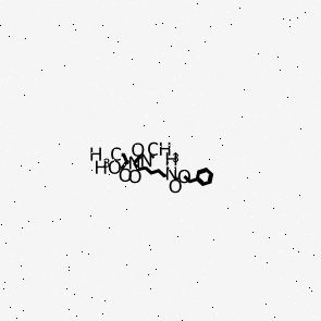 CCC(C(=O)O)N1C(=O)C(CCCNC(=O)OCc2ccccc2)N(CC)C1=O